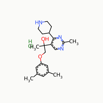 Cc1cc(C)cc(OCC(C)(O)c2cnc(C)nc2C2CCNCC2)c1.Cl